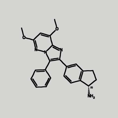 COc1cc(OC)c2nc(-c3ccc4c(c3)CC[C@@H]4N)c(-c3ccccc3)n2n1